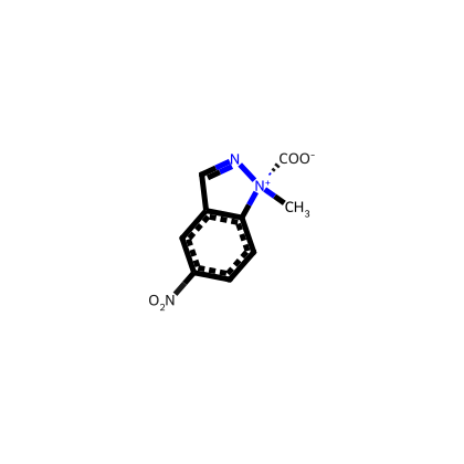 C[N@+]1(C(=O)[O-])N=Cc2cc([N+](=O)[O-])ccc21